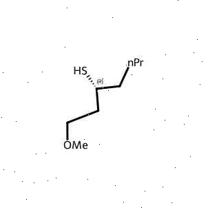 CCCC[C@@H](S)CCOC